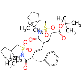 CC(C)(C)OC(=O)CC[C@@H](/C=C/[C@H](Cc1ccccc1)C(=O)N1[C@H]2CC3CCC2(CS1(=O)=O)C3(C)C)C(=O)N1C2CC3CCC2(CS1(=O)=O)C3(C)C